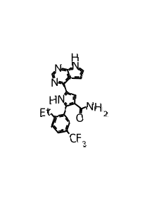 CCc1ccc(C(F)(F)F)cc1-c1[nH]c(-c2ncnc3[nH]ccc23)cc1C(N)=O